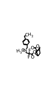 C=Cc1ccc(CN(C)CC(F)(F)C(=O)OC2C3CC4C(=O)OC2C4C3)cc1